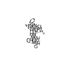 CC(CNC1=NC(Cl)=NC(Nc2ccccc2)N1)NC1NC(Cl)=NC(Nc2ccccc2)N1